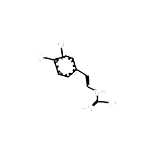 CC(C)C(=N)NC=Cc1ccc(Cl)c(Cl)c1